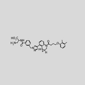 Cc1cccc(OCCCC(=O)N2C[C@@H]3C[C@@H]3c3c(-c4cnn(Cc5cccc(C(=O)N[C@@H](CN)C(=O)O)c5)c4)cccc32)c1C